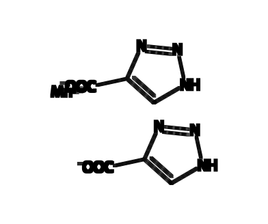 O=C([O-])c1c[nH]nn1.O=C([O-])c1c[nH]nn1.[Mn+2]